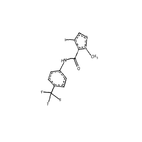 Cn1ncc(I)c1C(=O)Nc1ccc(C(F)(F)F)cc1